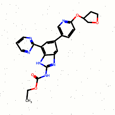 CCOC(=O)Nc1nc2cc(-c3ccc(OC4CCOC4)nc3)cc(-c3ncccn3)c2[nH]1